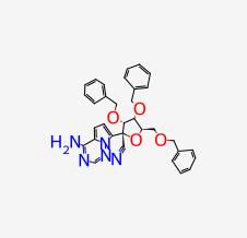 N#C[C@]1(c2ccc3c(N)ncnn23)O[C@H](COCc2ccccc2)[C@@H](OCc2ccccc2)[C@H]1OCc1ccccc1